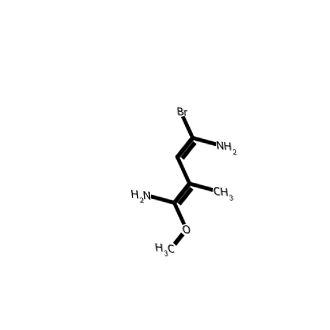 CO/C(N)=C(C)/C=C(\N)Br